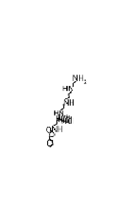 Cl.Cl.Cl.Cl.NCCCNCCCCNCCCNCCCCCNC(=O)OCc1ccccc1